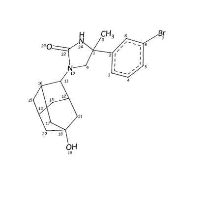 CC1(c2cccc(Br)c2)CN(C2C3CC4CC2CC(O)(C4)C3)C(=O)N1